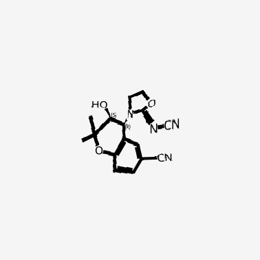 CC1(C)Oc2ccc(C#N)cc2[C@@H](N2CCOC2=NC#N)[C@@H]1O